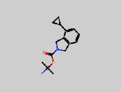 CC(C)(I)OC(=O)N1Cc2cccc(C3CC3)c2C1